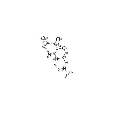 C=C(C)N1CCN2c3ncc(Cl)c(Cl)c3OCC2C1